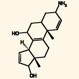 C[C@]12C=CC(N)CC1CC(O)C1=C2CC[C@]2(C)C(O)C=C[C@@H]12